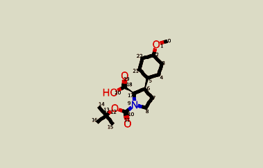 COC1CCC([C@H]2CCN(C(=O)OC(C)(C)C)[C@H]2C(=O)O)CC1